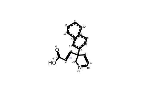 O=C(O)/C=C/C1(c2ccc3ccccc3c2)C=CC=NC1